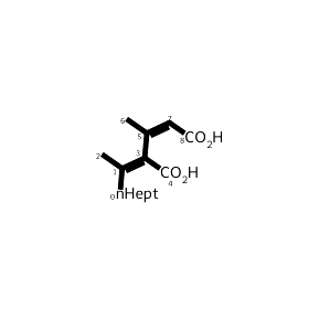 CCCCCCC/C(C)=C(C(=O)O)/C(C)=C\C(=O)O